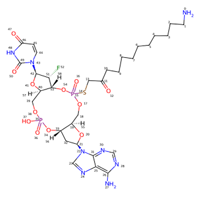 NCCCCCCCCCCC(=O)CSP1(=O)OC[C@H]2O[C@@H](n3cnc4c(N)ncnc43)C[C@@H]2OP(=O)(O)OC[C@H]2O[C@@H](n3ccc(=O)[nH]c3=O)[C@H](F)[C@@H]2O1